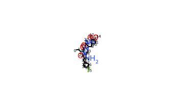 CCC[C@@H]1C(=O)N(C(Cc2ccc(OC)c(OC)c2)C(=O)NC)CCN1C(=O)C(N)Cc1ccc(F)cc1